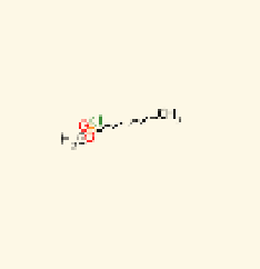 CCCCCCCCCCP(=O)(Cl)OC